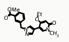 CCOc1cc(=O)n(C)cc1-c1cnn(Cc2cccc(C(=O)OC)c2)c1